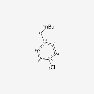 CC[CH]CCc1ccc(Cl)cc1